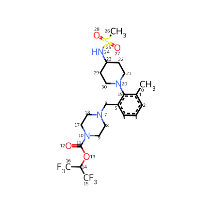 Cc1cccc(CN2CCN(C(=O)OC(C(F)(F)F)C(F)(F)F)CC2)c1N1CCC(NS(C)(=O)=O)CC1